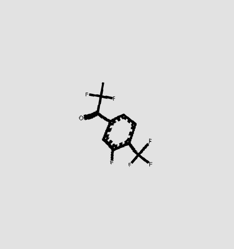 CC(F)(F)C(=O)c1ccc(C(F)(F)F)c(F)c1